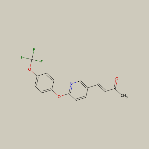 CC(=O)/C=C/c1ccc(Oc2ccc(OC(F)(F)F)cc2)nc1